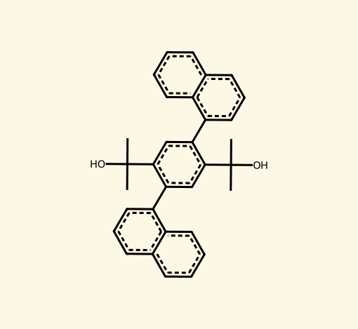 CC(C)(O)c1cc(-c2cccc3ccccc23)c(C(C)(C)O)cc1-c1cccc2ccccc12